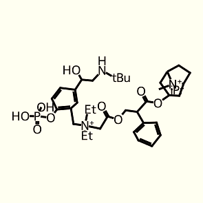 CC[N+](CC)(CC(=O)OCC(C(=O)OC1CC2CCC(C1)[N+]2(C)C(C)C)c1ccccc1)Cc1cc(C(O)CNC(C)(C)C)ccc1OP(=O)(O)O